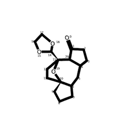 O=C1CCC2CC3CCC[C@]34CC[C@@](C3OCCO3)(O4)C12